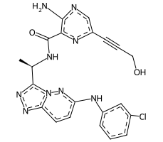 C[C@@H](NC(=O)c1nc(C#CCO)cnc1N)c1nnc2ccc(Nc3cccc(Cl)c3)nn12